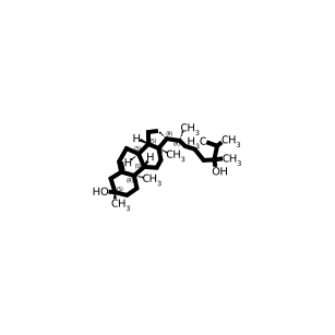 CC(C)C(C)(O)CCC[C@@H](C)[C@H]1CC[C@H]2[C@@H]3CC=C4C[C@@](C)(O)CC[C@]4(C)[C@H]3CC[C@]12C